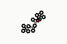 c1ccc(C2(c3ccccc3)c3ccccc3-c3cccc(-c4cccc5c4c4ccccc4n5-c4ccc5c6ccccc6n(-c6cccc([Si](c7ccccc7)(c7ccccc7)c7ccccc7)c6)c5c4)c32)cc1